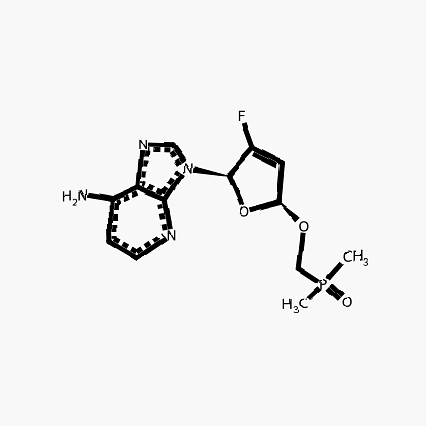 CP(C)(=O)CO[C@@H]1C=C(F)[C@H](n2cnc3c(N)ccnc32)O1